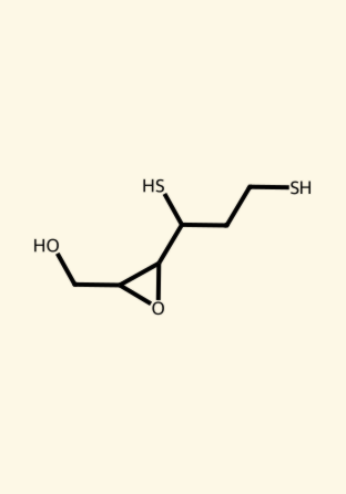 OCC1OC1C(S)CCS